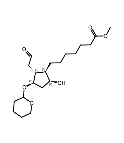 COC(=O)CCCCCC[C@@H]1[C@@H](CC=O)[C@H](OC2CCCCO2)C[C@@H]1O